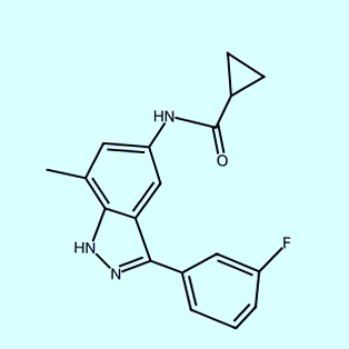 Cc1cc(NC(=O)C2CC2)cc2c(-c3cccc(F)c3)n[nH]c12